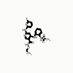 CCONC(=O)c1cnc(Nc2cccc(F)n2)cc1Nc1ccccc1NS(C)(=O)=O